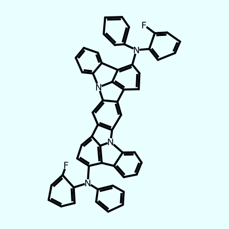 Fc1ccccc1N(c1ccccc1)c1ccc2c3cc4c(cc3n3c5ccccc5c1c23)c1ccc(N(c2ccccc2)c2ccccc2F)c2c3ccccc3n4c12